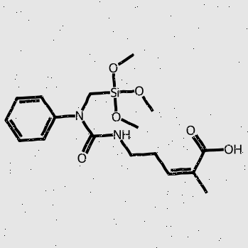 CO[Si](CN(C(=O)NCCC=C(C)C(=O)O)c1ccccc1)(OC)OC